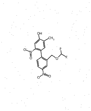 Cc1cc(-c2ccc([N+](=O)[O-])cc2COC(F)F)c([N+](=O)[O-])cc1O